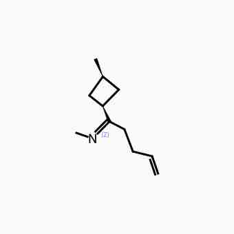 C=CCC/C(=N/C)[C@H]1C[C@@H](C)C1